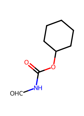 O=CNC(=O)OC1CCCCC1